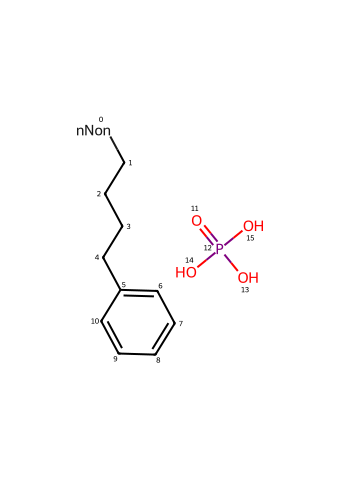 CCCCCCCCCCCCCc1ccccc1.O=P(O)(O)O